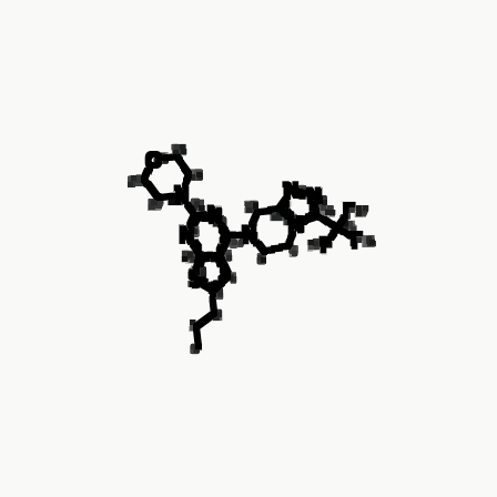 CCCc1cc2c(N3CCn4c(nnc4C(F)(F)F)C3)nc(N3CCOCC3)nc2s1